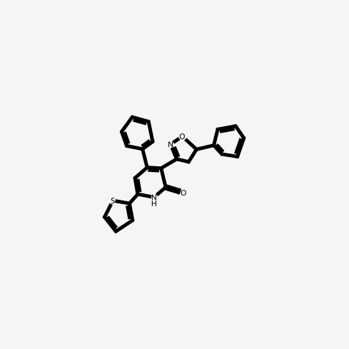 O=c1[nH]c(-c2cccs2)cc(-c2ccccc2)c1C1=NOC(c2ccccc2)C1